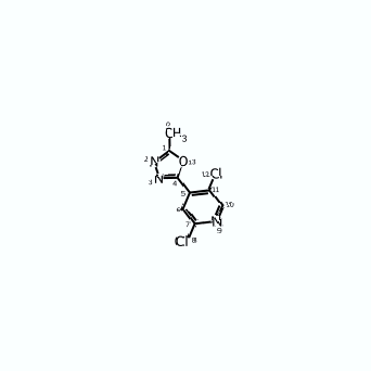 Cc1nnc(-c2cc(Cl)ncc2Cl)o1